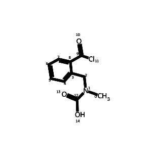 CN(Cc1ccccc1C(=O)Cl)C(=O)O